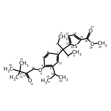 CCC(CC)(c1ccc(OCC(=O)C(C)(C)C)c(C(C)C)c1)c1ccc(C(=O)OC)s1